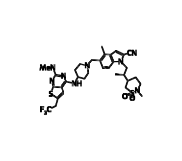 CNc1nc(NC2CCN(Cc3ccc4c(cc(C#N)n4C[C@H](C)C4CCN(C)S(=O)(=O)C4)c3C)CC2)c2cc(CC(F)(F)F)sc2n1